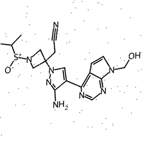 CC(C)[S+]([O-])N1CC(CC#N)(n2cc(-c3ncnc4c3ccn4CO)c(N)n2)C1